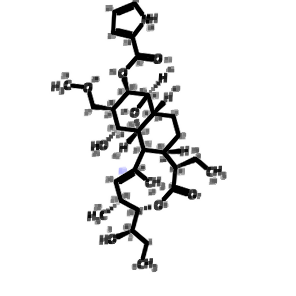 CC[C@@H](O)[C@H]1OC(=O)[C@H](CC)[C@H]2CC[C@H]3[C@H]4O[C@]2(/C(C)=C/[C@H]1C)[C@@H]3[C@H](O)[C@@H](COC)[C@H]4OC(=O)c1ccc[nH]1